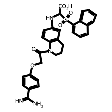 N=C(N)c1ccc(OCC(=O)N2CCCc3cc(NC(C(=O)O)S(=O)(=O)c4cccc5ccccc45)ccc32)cc1